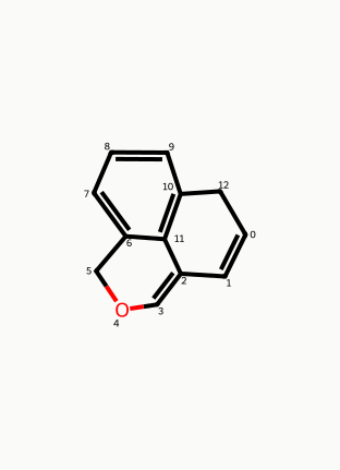 C1=CC2=COCc3cccc(c32)C1